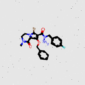 CN1CCn2c(Br)c(C(=O)N(N)Cc3ccc(F)cc3)c(OCc3ccccc3)c2C1=O